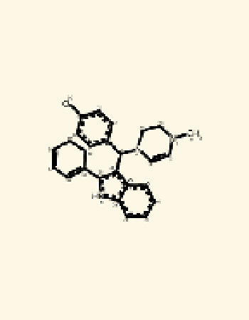 CN1C=CN(C(c2ccc(Cl)cc2)c2c(C3=CC=CCC3)[nH]c3ccccc23)CC1